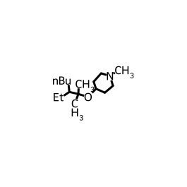 CCCCC(CC)C(C)(C)OC1CCN(C)CC1